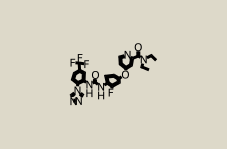 CCN(CC)C(=O)c1cc(Oc2ccc(NC(=O)Nc3cc(C(F)(F)F)ccc3-n3cnnc3)c(F)c2)ccn1